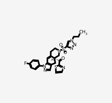 CCCn1cc(S(=O)(=O)N2CCC3=Cc4c(cnn4-c4ccc(F)cc4)C[C@]3(C(=O)c3nccs3)C2)nn1